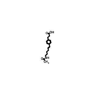 CC(=O)NCCCCC=Cc1ccc(CCC(=O)O)cc1